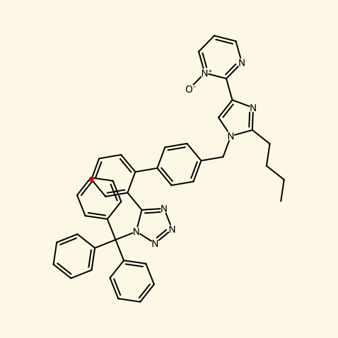 CCCCc1nc(-c2nccc[n+]2[O-])cn1Cc1ccc(-c2ccccc2-c2nnnn2C(c2ccccc2)(c2ccccc2)c2ccccc2)cc1